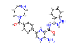 Nc1ncc(-c2ccc(C(=O)N3CCCNCC3)cc2)nc1C(=O)Nc1n[nH]c2ccccc12